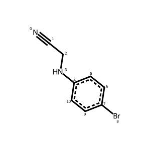 N#CCNc1ccc(Br)cc1